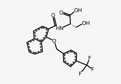 O=C(N[C@@H](CO)C(=O)O)c1ccc2ccccc2c1OCc1ccc(C(F)(F)F)cc1